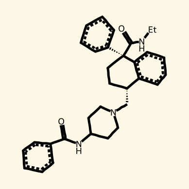 CCNC(=O)[C@]1(c2ccccc2)CC[C@@H](CN2CCC(NC(=O)c3ccccc3)CC2)c2ccccc21